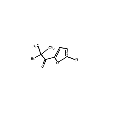 CCc1ccc(C(=O)C(C)(C)CC)o1